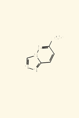 COc1ccc2nncn2n1